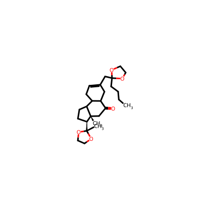 CCCCC1(CC2=CCC3C(C2)C(=O)C[C@@]2(C)C3CC[C@@H]2C2(C)OCCO2)OCCO1